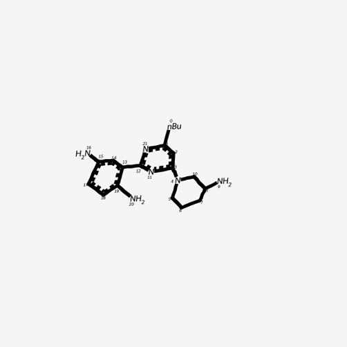 CCCCc1cc(N2CCCC(N)C2)nc(-c2cc(N)ccc2N)n1